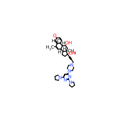 CC1=C[C@@H]2[C@H]([C@@H](O)C[C@@]3(C)[C@H]2CC[C@@]3(O)C#CCN2CCN(c3cc(N4CCCC4)nc(N4CCCC4)n3)CC2)[C@@]2(C)C=CC(=O)C=C12